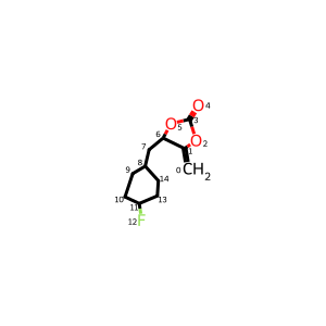 C=C1OC(=O)OC1CC1CCC(F)CC1